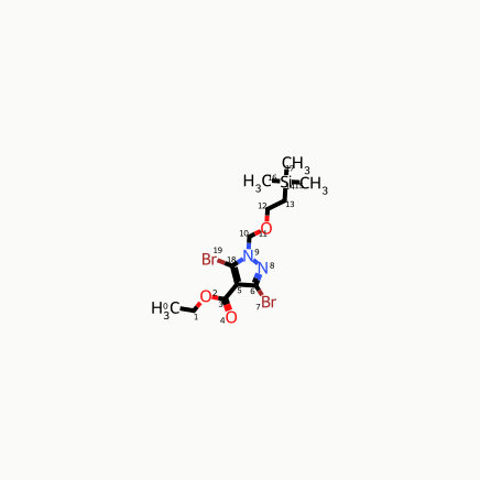 CCOC(=O)c1c(Br)nn(COCC[Si](C)(C)C)c1Br